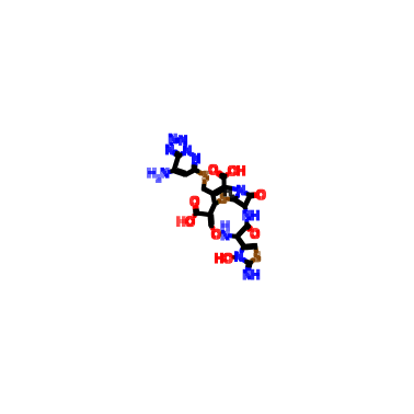 N=c1scc(C2NOC=C(C(=O)O)C3S[C@H]4C(NC2=O)C(=O)N4C(C(=O)O)=C3CSc2cc(N)c3nnnn3n2)n1O